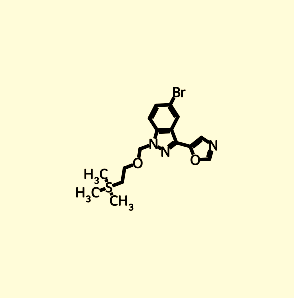 CS(C)(C)CCOCn1nc(-c2cnco2)c2cc(Br)ccc21